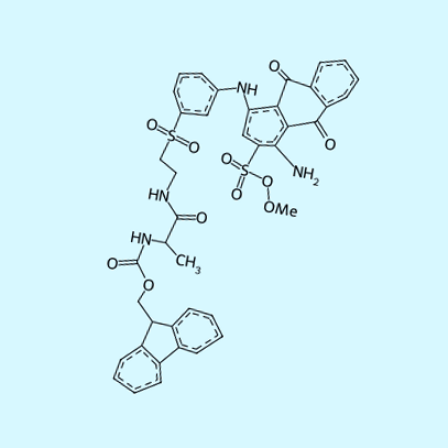 COOS(=O)(=O)c1cc(Nc2cccc(S(=O)(=O)CCNC(=O)C(C)NC(=O)OCC3c4ccccc4-c4ccccc43)c2)c2c(c1N)C(=O)c1ccccc1C2=O